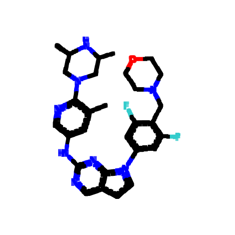 Cc1cc(Nc2ncc3ccn(-c4cc(F)c(CN5CCOCC5)c(F)c4)c3n2)cnc1N1CC(C)NC(C)C1